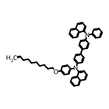 C=CCCCCCCCCOc1ccc(N(c2ccc(-c3ccc(N(c4ccccc4)c4cccc5ccccc45)cc3)cc2)c2cccc3ccccc23)cc1